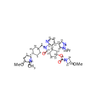 COc1ccc([C@H]2CC[C@H](CN(c3cc(-c4cnn(C(C)C)c4)ccn3)C(=O)[C@H]3CC[C@H](OC(=O)N4CC(OC)C4)CC3)CC2)nc1C